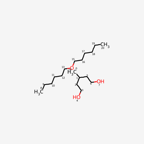 CC(CCO)CCO.CCCCCCOCCCCCC